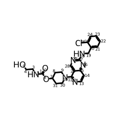 O=C(NCCO)OC1CCN(c2nccc3nc(NCc4ccccc4Cl)ncc23)CC1